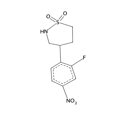 O=[N+]([O-])c1ccc(C2CCS(=O)(=O)NC2)c(F)c1